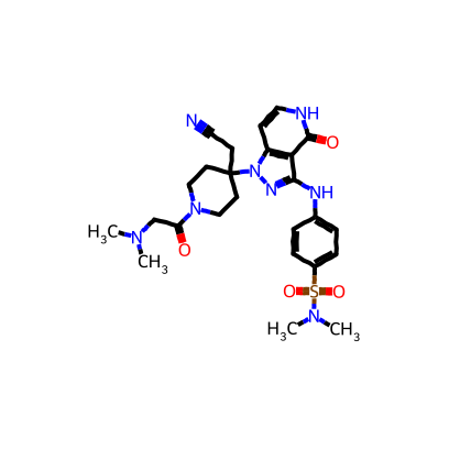 CN(C)CC(=O)N1CCC(CC#N)(n2nc(Nc3ccc(S(=O)(=O)N(C)C)cc3)c3c(=O)[nH]ccc32)CC1